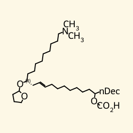 CCCCCCCCCCC(CCCCCCCC=CC[C@@H](CCCCCCCCCN(C)C)OC1CCCO1)OC(=O)O